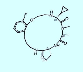 CC(C)C[C@H]1NC(=O)[C@@H](C)N(C)C(=O)[C@H](C2CC2)NCCOc2c(F)cccc2CCCNC1=O